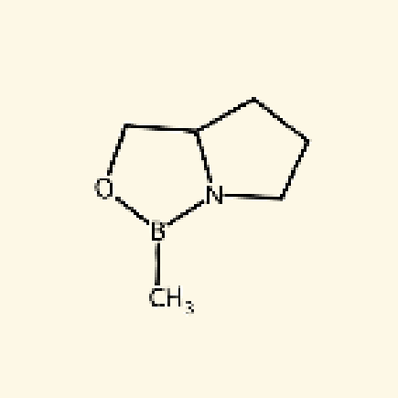 CB1OCC2CCCN12